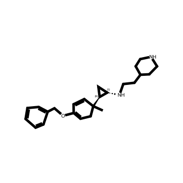 CC1([C@H]2C[C@@H]2NCCC2CCNCC2)C=CC(OCc2ccccc2)=CC1